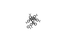 CCc1ccccc1-c1ccc(N(c2ccccc2)c2cc3c4c(c2)N(c2ccc(C(C)C)cc2)c2cc(C(C)C)ccc2B4c2cc(C(C)C)ccc2N3c2ccc(C(C)C)cc2)cc1CC